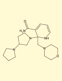 NC(=O)C1=CC=CNC1(CN1CCOCC1)N1CCC(N2CCCC2)C1